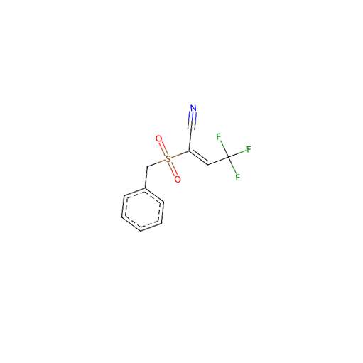 N#CC(=CC(F)(F)F)S(=O)(=O)Cc1ccccc1